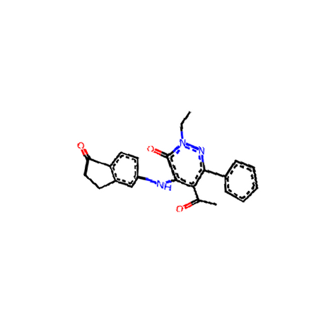 CCn1nc(-c2ccccc2)c(C(C)=O)c(Nc2ccc3c(c2)CCC3=O)c1=O